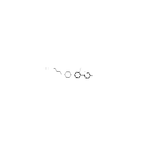 CCCCC[C@H]1CC[C@H](c2ccc(-c3ccc(C)cn3)c(F)c2)CC1